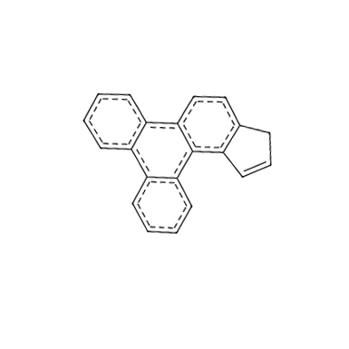 C1=Cc2c(ccc3c4ccccc4c4ccccc4c23)C1